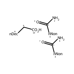 CCCCCCCCCC(N)=O.CCCCCCCCCC(N)=O.CCCCCCCCCCCC(=O)O